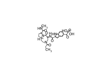 CCC(=O)N1CC[C@H]2CC[C@@H](C(=O)NC)N2C(=O)[C@@H](NC(=O)c2cc3cc(C(=O)P(=O)(O)O)ccc3[nH]2)C1